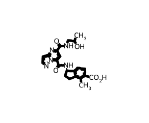 Cc1c(C(=O)O)ccc2c1CC[C@@H]2NC(=O)c1cc(C(=O)NCC(C)O)nc2ccnn12